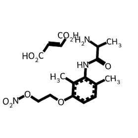 Cc1ccc(OCCO[N+](=O)[O-])c(C)c1NC(=O)C(C)N.O=C(O)C=CC(=O)O